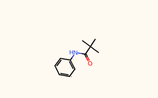 CC(C)(C)C(=O)Nc1c[c]ccc1